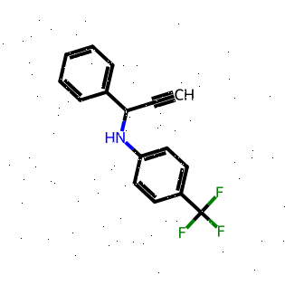 C#CC(Nc1ccc(C(F)(F)F)cc1)c1ccccc1